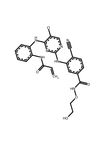 C=CC(=O)Nc1ccccc1Nc1nc(Nc2cc(C(=O)NOCCO)ccc2C#N)ncc1Cl